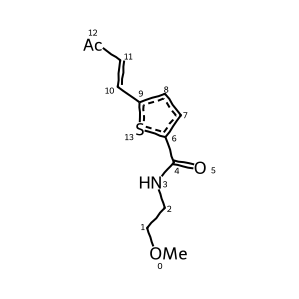 COCCNC(=O)c1ccc(/C=C/C(C)=O)s1